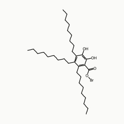 CCCCCCCCCc1c(O)c(O)c(C(=O)OBr)c(CCCCCCCCC)c1CCCCCCCCC